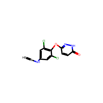 B=BNc1cc(Cl)c(Oc2ccc(=O)[nH]n2)c(Cl)c1